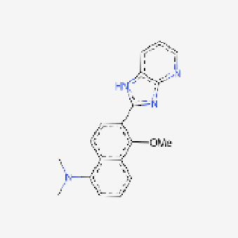 COc1c(-c2nc3ncccc3[nH]2)ccc2c(N(C)C)cccc12